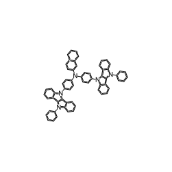 c1ccc(-n2c3ccccc3c3c2c2ccccc2n3-c2ccc(N(c3ccc(-n4c5ccccc5c5c4c4ccccc4n5-c4ccccc4)cc3)c3ccc4ccccc4c3)cc2)cc1